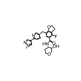 Cn1cc(-c2ccc(Cc3cc(C(=O)N[C@H]4CCOC[C@@H]4O)c(F)c4c3OCC4)cn2)cn1